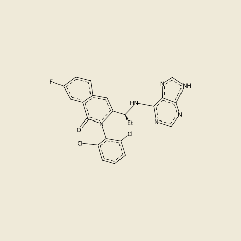 CC[C@H](Nc1ncnc2[nH]cnc12)c1cc2ccc(F)cc2c(=O)n1-c1c(Cl)cccc1Cl